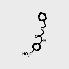 O=C(COCc1ccccc1)Nc1ccc(C(=O)O)cc1